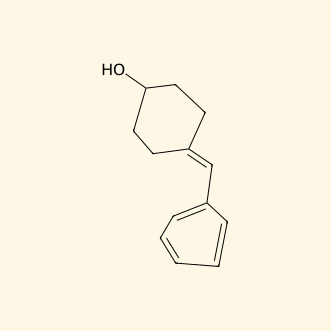 OC1CCC(=Cc2ccccc2)CC1